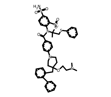 CN(C)CCOC1(Cc2ccccc2-c2ccccc2)CCN(c2ccc(C(=O)N(c3ccc(S(N)(=O)=O)cc3[N+](=O)[O-])C(C)(C)CSc3ccccc3)cc2)CC1